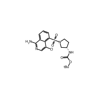 CC(C)(C)OC(=O)N[C@H]1CCN(S(=O)(=O)c2cccc3c(N)ncc(Cl)c23)C1